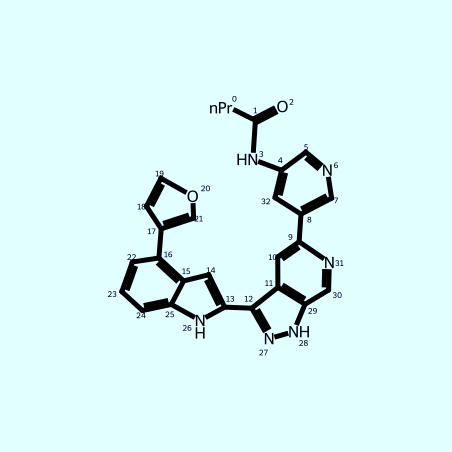 CCCC(=O)Nc1cncc(-c2cc3c(-c4cc5c(-c6ccoc6)cccc5[nH]4)n[nH]c3cn2)c1